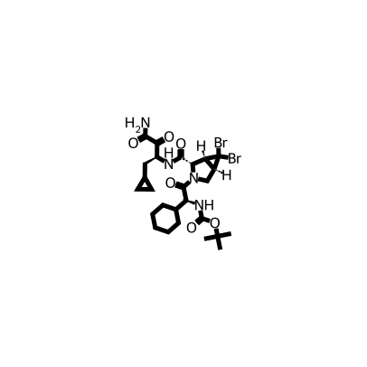 CC(C)(C)OC(=O)N[C@H](C(=O)N1C[C@H]2[C@@H]([C@H]1C(=O)N[C@@H](CC1CC1)C(=O)C(N)=O)C2(Br)Br)C1CCCCC1